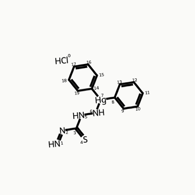 Cl.N=NC(=S)N[NH][Hg]([c]1ccccc1)[c]1ccccc1